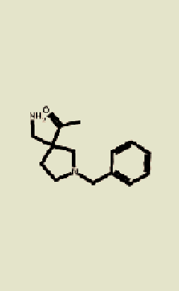 CC(=O)C1(CN)CCN(Cc2ccccc2)C1